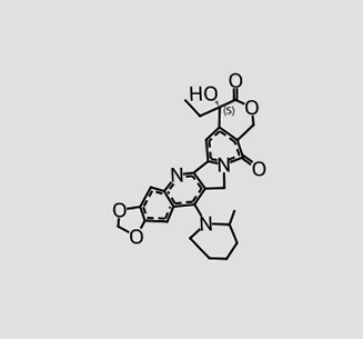 CC[C@@]1(O)C(=O)OCc2c1cc1n(c2=O)Cc2c-1nc1cc3c(cc1c2N1CCCCC1C)OCO3